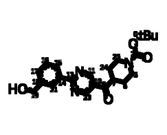 CC(C)(C)OC(=O)N1CCC(C(=O)c2cnc(-c3cccc(CO)c3)nc2)CC1